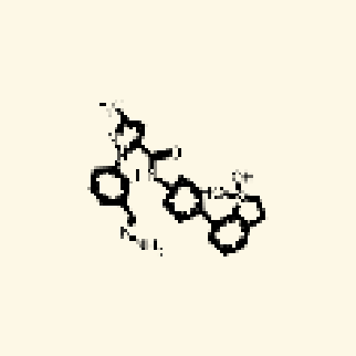 NN=Cc1cccc(-n2nc(C(F)(F)F)cc2C(=O)Nc2ccc(-c3cccc4c3S(O)(O)CC4)cc2)c1